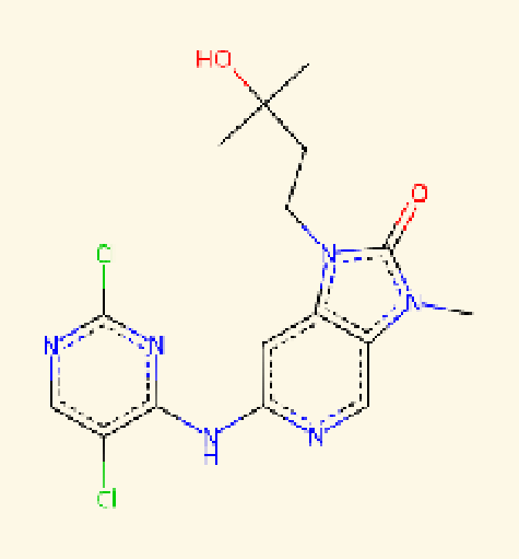 Cn1c(=O)n(CCC(C)(C)O)c2cc(Nc3nc(Cl)ncc3Cl)ncc21